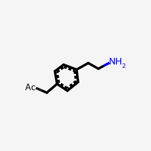 CC(=O)Cc1ccc(CCN)cc1